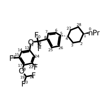 CCC[C@H]1CC[C@H](c2ccc(C(F)(F)Oc3cc(F)c(OC(F)F)c(F)c3)cc2)CC1